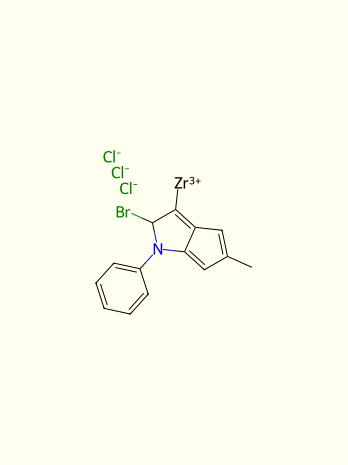 CC1=CC2=[C]([Zr+3])C(Br)N(c3ccccc3)C2=C1.[Cl-].[Cl-].[Cl-]